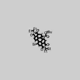 CCC(CC)n1c(=O)c2ccc3c4c(Br)cc5c(=O)n(C(CC)CC)c(=O)c6cc7c(c4c56)c4c3c2c(cc4n7C(=O)OC(C)(C)C)c1=O